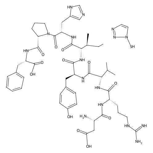 CC[C@H](C)[C@H](NC(=O)[C@H](Cc1ccc(O)cc1)NC(=O)[C@@H](NC(=O)[C@H](CCCNC(=N)N)NC(=O)[C@@H](N)CC(=O)O)C(C)C)C(=O)N[C@@H](Cc1cnc[nH]1)C(=O)N1CCC[C@H]1C(=O)N[C@@H](Cc1ccccc1)C(=O)O.Sn1ccnn1